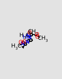 CCCN1C(=O)COc2c(N3CCc4c(cccc4N4NN(C)c5c(OC)cc(CCC(=O)OCC)cc54)C3)ccc(C3CC3)c21